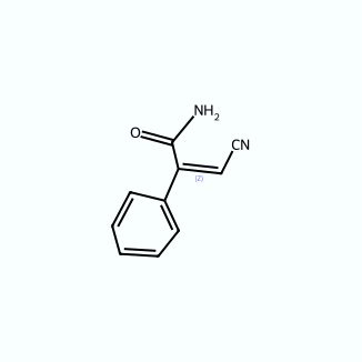 N#C/C=C(\C(N)=O)c1ccccc1